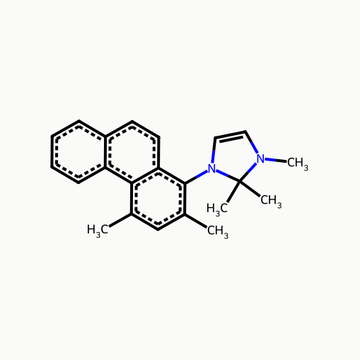 Cc1cc(C)c2c(ccc3ccccc32)c1N1C=CN(C)C1(C)C